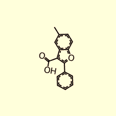 Cc1ccc2oc(-c3ccccc3)c(C(=O)O)c2c1